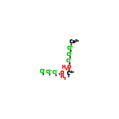 O.O.[C+4].[Ca+2].[Cl-].[Cl-].[Cl-].[Cl-].[Cl-].[Cl-]